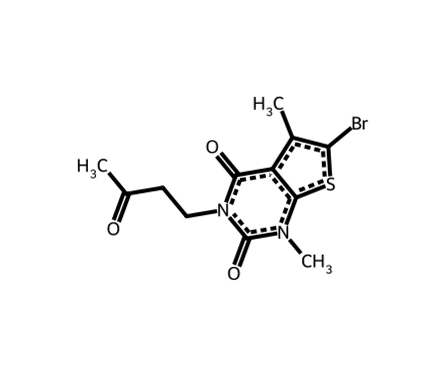 CC(=O)CCn1c(=O)c2c(C)c(Br)sc2n(C)c1=O